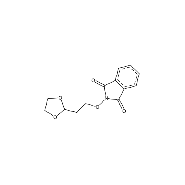 O=C1c2ccccc2C(=O)N1OCCC1OCCO1